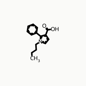 CCCCn1ccc(C(=O)O)c1-c1ccccc1